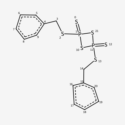 S=P1(SCc2ccccc2)SP(=S)(SCc2ccccc2)S1